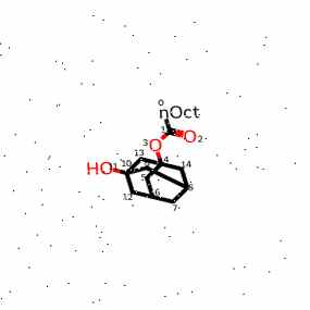 CCCCCCCCC(=O)OC12CC3CC(CC(O)(C3)C1)C2